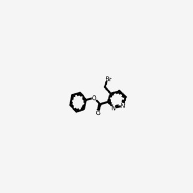 O=C(Oc1ccccc1)c1nnccc1CBr